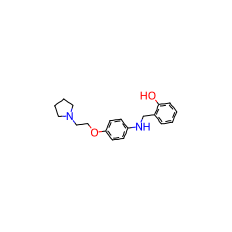 Oc1ccccc1CNc1ccc(OCCN2CCCC2)cc1